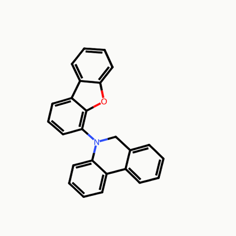 c1ccc2c(c1)CN(c1cccc3c1oc1ccccc13)c1ccccc1-2